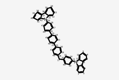 c1ccc2c(c1)c1ccccc1n2-c1ccc(Cc2ccc(-c3ccc(-c4ccc(-n5c6ccccc6c6ccccc65)cc4)cc3)cc2)cc1